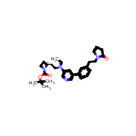 CCN(CC[C@@H]1CCN1C(=O)OC(C)(C)C)c1cncc(-c2cccc(CCN3CCCC3=O)c2)c1